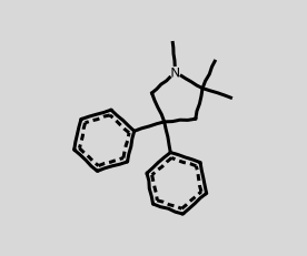 CN1CC(c2ccccc2)(c2ccccc2)CC1(C)C